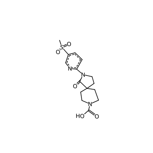 CS(=O)(=O)c1ccc(N2CCC3(CCN(C(=O)O)CC3)C2=O)nc1